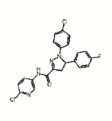 O=C(Nc1ccc(Cl)nc1)C1=NN(c2ccc(Cl)cc2)C(c2ccc(F)cc2)C1